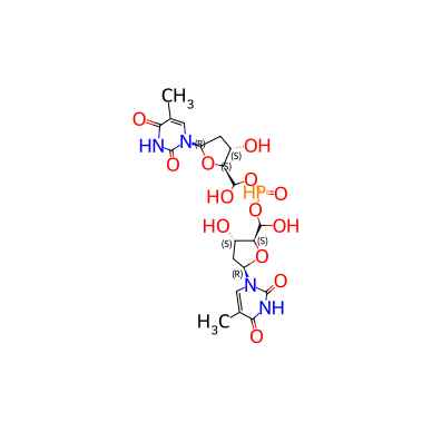 Cc1cn([C@H]2C[C@H](O)[C@@H](C(O)O[PH](=O)OC(O)[C@H]3O[C@@H](n4cc(C)c(=O)[nH]c4=O)C[C@@H]3O)O2)c(=O)[nH]c1=O